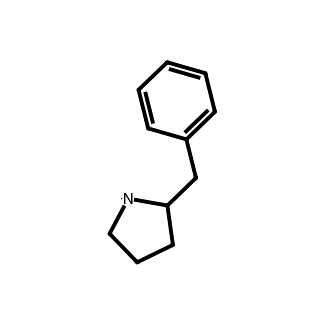 c1ccc(CC2CCC[N]2)cc1